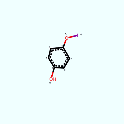 Oc1ccc(OI)cc1